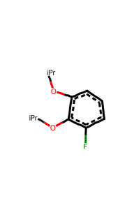 CC(C)Oc1cccc(F)c1OC(C)C